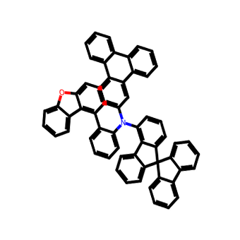 c1ccc(N(c2ccc3c4ccccc4c4ccccc4c3c2)c2cccc3c2-c2ccccc2C32c3ccccc3-c3ccccc32)c(-c2cccc3oc4ccccc4c23)c1